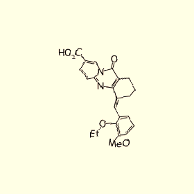 CCOc1c(C=C2CCCc3c2nc2ccc(C(=O)O)cn2c3=O)cccc1OC